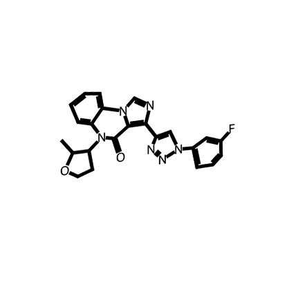 CC1OCCC1n1c(=O)c2c(-c3cn(-c4cccc(F)c4)nn3)ncn2c2ccccc21